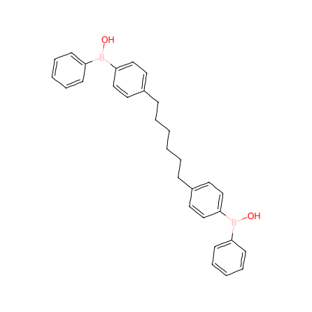 OB(c1ccccc1)c1ccc(CCCCCCc2ccc(B(O)c3ccccc3)cc2)cc1